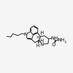 CCCCCn1cc2c3c(cccc31)[C@H]1CC(NC(N)=O)CN[C@@H]1C2